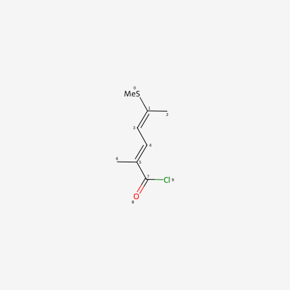 CS/C(C)=C/C=C(\C)C(=O)Cl